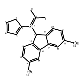 C[C](C)=[Zr]([C]1=CC=CC1)[CH]1c2ccc(C(C)(C)C)cc2-c2cc(C(C)(C)C)ccc21